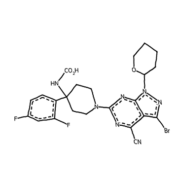 N#Cc1nc(N2CCC(NC(=O)O)(c3ccc(F)cc3F)CC2)nc2c1c(Br)nn2C1CCCCO1